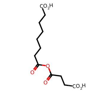 O=C(O)CCCCCCC(=O)OC(=O)CCC(=O)O